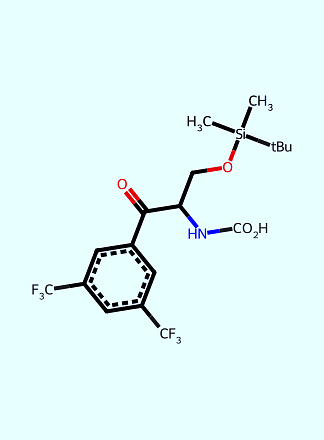 CC(C)(C)[Si](C)(C)OCC(NC(=O)O)C(=O)c1cc(C(F)(F)F)cc(C(F)(F)F)c1